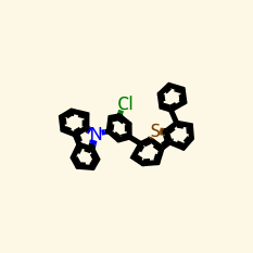 Clc1cc(-c2cccc3c2sc2c(-c4ccccc4)cccc23)cc(-n2c3ccccc3c3ccccc32)c1